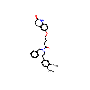 COc1ccc(CCN(Cc2ccccc2)C(=O)CCCOc2ccc3c(c2)CCC(=O)N3)cc1OC